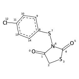 O=C1CSC(=O)N1Sc1ccc(Cl)cc1